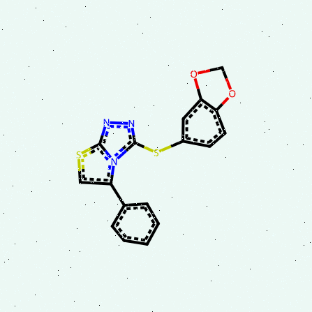 c1ccc(-c2csc3nnc(Sc4ccc5c(c4)OCO5)n23)cc1